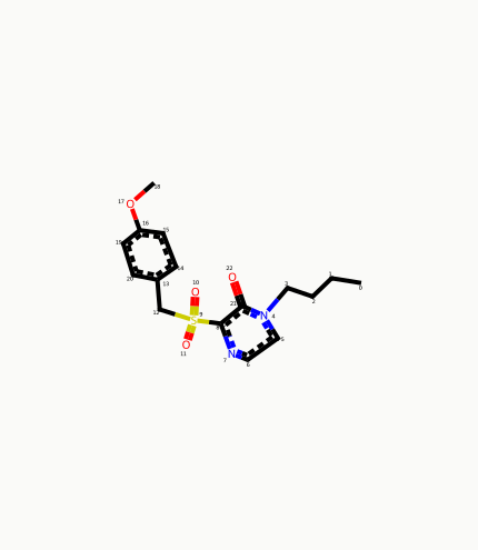 CCCCn1ccnc(S(=O)(=O)Cc2ccc(OC)cc2)c1=O